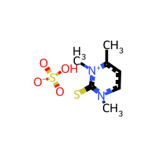 Cc1ccn(C)c(=S)[n+]1C.O=S(=O)([O-])O